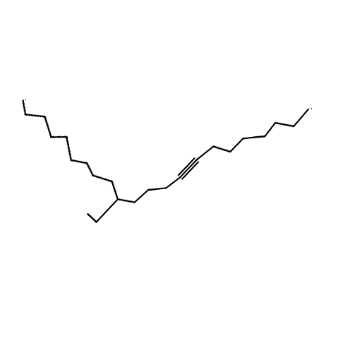 [CH2]CCCCCCC#CCCCC(CC)CCCCCCCC[CH2]